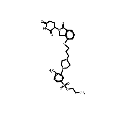 CCCOS(=O)(=O)c1ccc(C)c(N2CCN(CCCSc3cccc4c3CN(C3CCC(=O)NC3=O)C4=O)CC2)c1